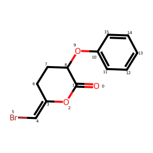 O=C1OC(=CBr)CCC1Oc1ccccc1